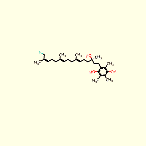 CC(=CCC/C(C)=C/CC/C(C)=C/CC[C@@](C)(O)CCc1c(C)c(O)c(C)c(C)c1O)CF